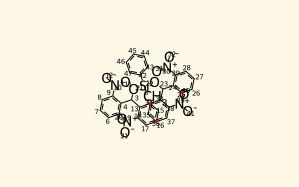 C[Si](OC(c1ccccc1[N+](=O)[O-])c1ccccc1[N+](=O)[O-])(OC(c1ccccc1[N+](=O)[O-])c1ccccc1[N+](=O)[O-])c1ccccc1